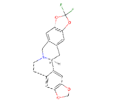 FC1(F)Oc2cc3c(cc2O1)CN1CCc2cc4c(cc2[C@@H]1C3)OCO4